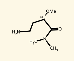 CO[C@@H](CCN)C(=O)N(C)C